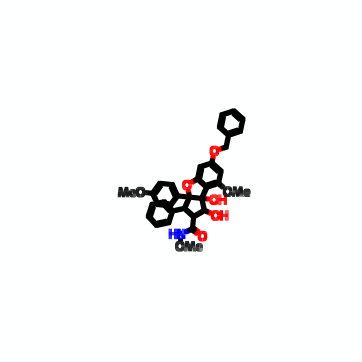 CONC(=O)C1C(O)C2(O)c3c(OC)cc(OCc4ccccc4)cc3OC2(c2ccc(OC)cc2)C1c1ccccc1